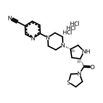 Cl.Cl.Cl.N#Cc1ccc(N2CCN([C@@H]3CN[C@H](C(=O)N4CCSC4)C3)CC2)nc1